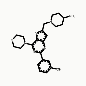 NC1CCN(Cc2cc3nc(-c4cccc(O)c4)nc(N4CCOCC4)c3s2)CC1